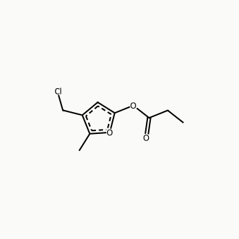 CCC(=O)Oc1cc(CCl)c(C)o1